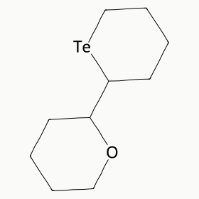 C1CCC(C2CCCC[Te]2)OC1